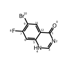 O=c1nc[nH]c2cc(F)c(Br)cc12